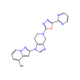 CC(C)c1cccn2nc(-n3cnc4c3CCN(c3nnc(-c5ncccn5)o3)C4)cc12